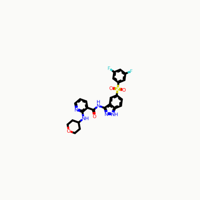 O=C(Nc1n[nH]c2ccc(S(=O)(=O)c3cc(F)cc(F)c3)cc12)c1cccnc1NC1CCOCC1